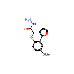 COc1ccc(OCC(=O)NN)c(-c2ccco2)c1